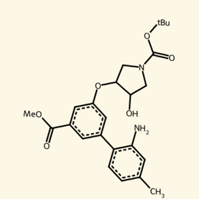 COC(=O)c1cc(OC2CN(C(=O)OC(C)(C)C)CC2O)cc(-c2ccc(C)cc2N)c1